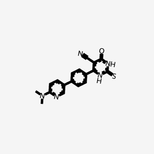 CN(C)c1ccc(-c2ccc(-c3[nH]c(=S)[nH]c(=O)c3C#N)cc2)cn1